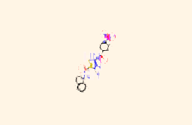 Cc1nc(NC(=O)c2ccc([N+](=O)[O-])cc2)sc1C(=O)NC1CCc2ccccc21